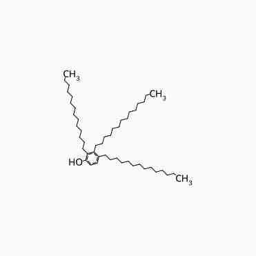 CCCCCCCCCCCCCCc1ccc(O)c(CCCCCCCCCCCCCC)c1CCCCCCCCCCCCCC